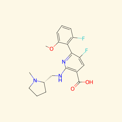 COc1cccc(F)c1-c1nc(NC[C@@H]2CCCN2C)c(C(=O)O)cc1F